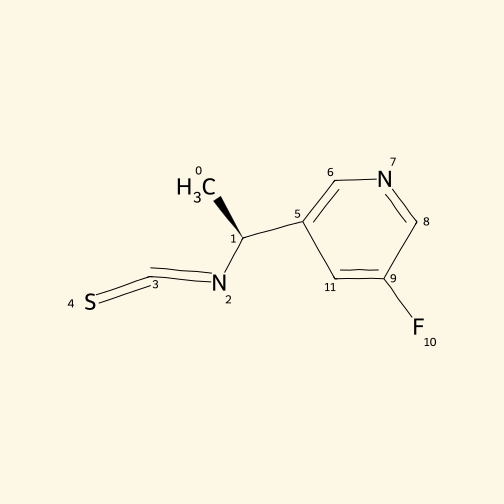 C[C@H](N=C=S)c1cncc(F)c1